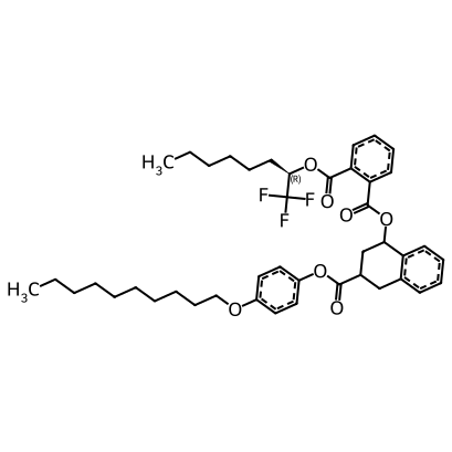 CCCCCCCCCCOc1ccc(OC(=O)C2Cc3ccccc3C(OC(=O)c3ccccc3C(=O)O[C@H](CCCCCC)C(F)(F)F)C2)cc1